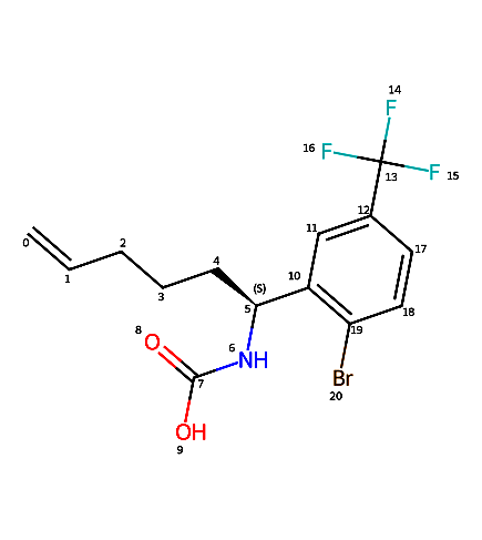 C=CCCC[C@H](NC(=O)O)c1cc(C(F)(F)F)ccc1Br